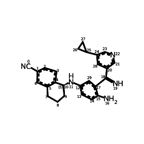 N#Cc1ccc2c(c1)CCC[C@@H]2Nc1ccc(N)c(C(=N)c2cncc(C3CC3)c2)c1